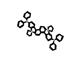 c1ccc(N(c2ccccc2)c2ccc3c(c2)[Si]2(CCCC2)c2ccc4c5c(ccc4c2-3)[Si]2(CCCC2)c2cc(N(c3ccccc3)c3ccccc3)ccc2-5)cc1